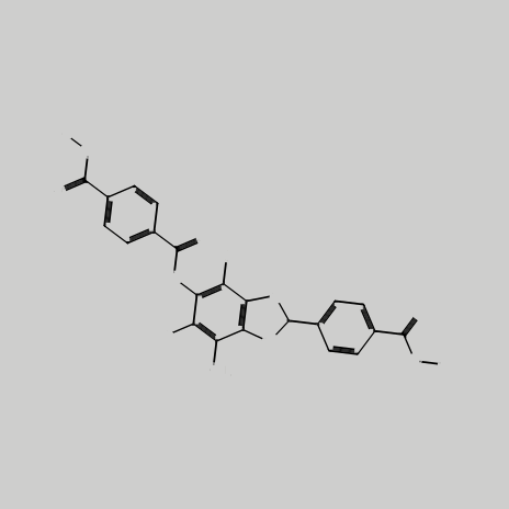 COC(=O)c1ccc(C(=O)Oc2c(C)c(C)c3c(c2C)SC(c2ccc(C(=O)OC)cc2)O3)cc1